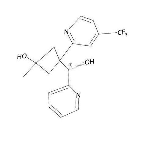 CC1(O)CC(c2cc(C(F)(F)F)ccn2)([C@H](O)c2ccccn2)C1